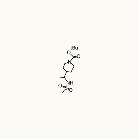 CC(NS(C)(=O)=O)C1CCN(C(=O)OC(C)(C)C)CC1